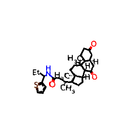 CCC(NC(=O)C[C@@H](C)C1CC[C@H]2[C@@H]3C(=O)C[C@@H]4CC(=O)CC[C@]4(C)[C@H]3CC[C@]12C)c1cccs1